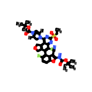 CCS(=O)(=O)c1nc(N2C[C@H]3C[C@@H]2CN3C(=O)OC(C)(C)C)c2c3c(c(-c4c(F)ccc5oc(NC(=O)OC(C)(C)C)c(C#N)c45)c(F)c2n1)COC3